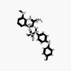 COc1cccc(N[C@@H](CN(c2ccc(Oc3ccc(C)cc3)cc2)S(C)(=O)=O)C(N)=O)c1